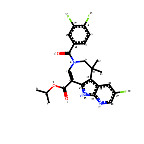 CC(C)OC(=O)C1=CN(C(=O)c2ccc(F)c(F)c2)CC(C)(C)c2c1[nH]c1ncc(F)cc21